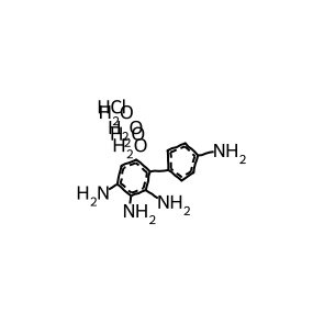 Cl.Nc1ccc(-c2ccc(N)c(N)c2N)cc1.O.O.O.O